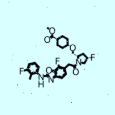 COC(=O)[C@H]1CC[C@H](OC[C@@H]2C[C@H](F)CN2C(=O)Cc2ccc3nc(Nc4cccc(F)c4C)oc3c2F)CC1